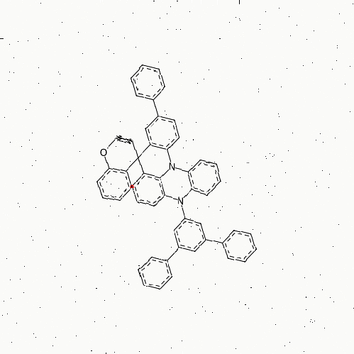 c1ccc(-c2cc(-c3ccccc3)cc(N3c4ccccc4N4c5ccc(-c6ccccc6)cc5C5(c6ccccc6Oc6ccccc65)c5cccc3c54)c2)cc1